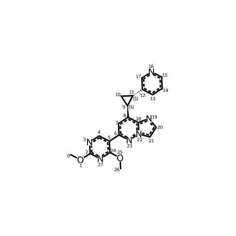 COc1ncc(-c2cc([C@H]3C[C@@H]3c3cccnc3)c3nccn3n2)c(OC)n1